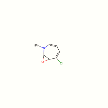 CC(C)N1C=CC=C(Cl)C2OC21